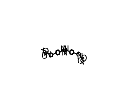 Cn1c(-c2ccc(C3=CCN(C(=O)OC(C)(C)C)C3)cc2)nnc1-c1ccc(C2=CCN(C(=O)OC(C)(C)C)C2)cc1